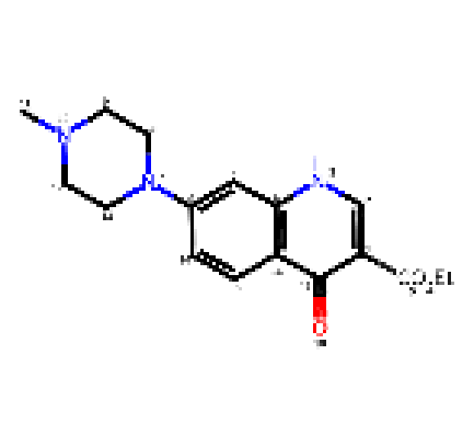 CCOC(=O)c1c[nH]c2cc(N3CCN(C)CC3)ccc2c1=O